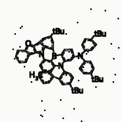 Cc1cc2c3c(c1)-n1c4c(cc(C(C)(C)C)cc4c4oc5ccccc5c41)B3c1ccc(N(c3ccc(C(C)(C)C)cc3)c3ccc(C(C)(C)C)cc3)cc1N2c1ccc(C(C)(C)C)cc1-c1ccccc1